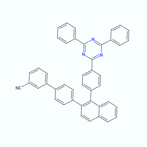 N#Cc1cccc(-c2ccc(-c3ccc4ccccc4c3-c3ccc(-c4nc(-c5ccccc5)nc(-c5ccccc5)n4)cc3)cc2)c1